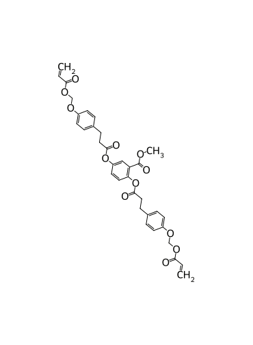 C=CC(=O)OCOc1ccc(CCC(=O)Oc2ccc(OC(=O)CCc3ccc(OCOC(=O)C=C)cc3)c(C(=O)OC)c2)cc1